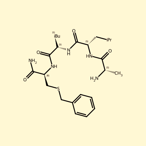 CC[C@H](C)[C@H](NC(=O)[C@H](CC(C)C)NC(=O)[C@H](C)N)C(=O)N[C@@H](CSCc1ccccc1)C(N)=O